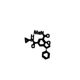 CNC(=O)c1cc(C(=O)NC2CC2)cc2c1OC[C@@H]2c1ccccc1